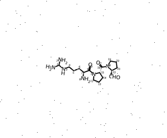 NC(N)NCCC[C@H](N)C(=O)N1CCC[C@H]1C(=O)N1CCC[C@H]1C=O